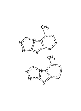 Cc1cccc2sc3nncn3c12.Cc1cccc2sc3nncn3c12